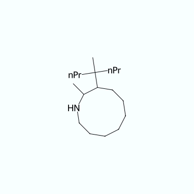 CCCC(C)(CCC)C1CCCCCCCNC1C